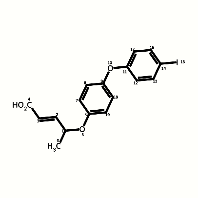 CC(C=CC(=O)O)Oc1ccc(Oc2ccc(I)cc2)cc1